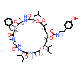 C/C=C(\C)[C@H]1OC(=O)[C@@H](C)NC(=O)[C@H](C(C)CC)NC(=O)CN(C)C(=O)[C@@H](Cc2ccccc2)N(C)C(=O)[C@H](C)NC(=O)[C@@H](CC(C)C)OC(=O)/C(C)=C/C[C@H](OC(=O)NCCc2ccc(O)cc2)[C@@H]1C